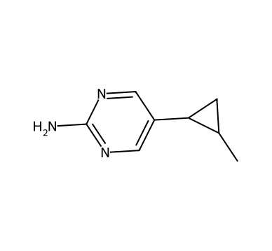 CC1CC1c1cnc(N)nc1